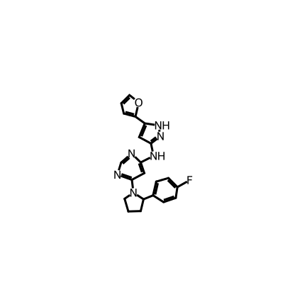 Fc1ccc(C2CCCN2c2cc(Nc3cc(-c4ccco4)[nH]n3)ncn2)cc1